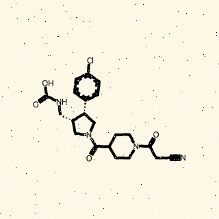 N#CCC(=O)N1CCC(C(=O)N2C[C@H](CNC(=O)O)[C@H](c3ccc(Cl)cc3)C2)CC1